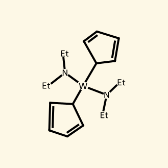 CC[N](CC)[W]([CH]1C=CC=C1)([CH]1C=CC=C1)[N](CC)CC